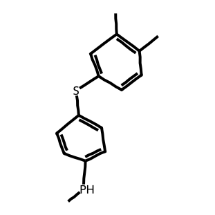 CPc1ccc(Sc2ccc(C)c(C)c2)cc1